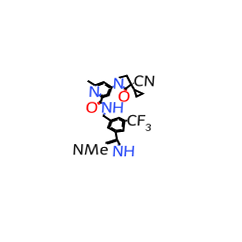 CN/C=C(\C=N)c1cc(CNC(=O)c2cc(N3CC[C@@](C#N)(C4CC4)C3=O)cc(C)n2)cc(C(F)(F)F)c1